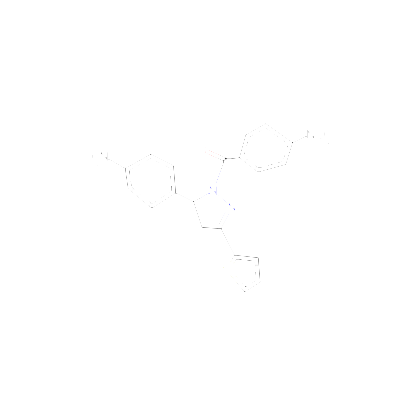 O=C(c1ccc([N+](=O)[O-])cc1)N1N=C(c2cccs2)CC1c1ccc([N+](=O)[O-])cc1